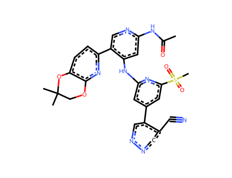 CC(=O)Nc1cc(Nc2cc(-c3cnncc3C#N)cc(S(C)(=O)=O)n2)c(-c2ccc3c(n2)OCC(C)(C)O3)cn1